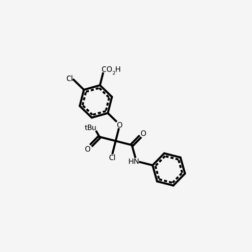 CC(C)(C)C(=O)C(Cl)(Oc1ccc(Cl)c(C(=O)O)c1)C(=O)Nc1ccccc1